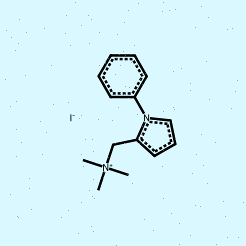 C[N+](C)(C)Cc1cccn1-c1ccccc1.[I-]